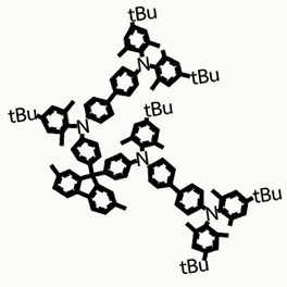 Cc1ccc2c(c1)C(c1ccc(N(c3ccc(-c4ccc(N(c5c(C)cc(C(C)(C)C)cc5C)c5c(C)cc(C(C)(C)C)cc5C)cc4)cc3)c3c(C)cc(C(C)(C)C)cc3C)cc1)(c1ccc(N(c3ccc(-c4ccc(N(c5c(C)cc(C(C)(C)C)cc5C)c5c(C)cc(C(C)(C)C)cc5C)cc4)cc3)c3c(C)cc(C(C)(C)C)cc3C)cc1)c1cc(C)ccc1-2